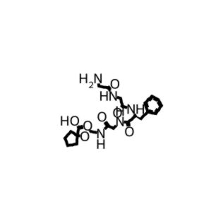 NCC(=O)NCC(=O)N[C@@H](Cc1ccccc1)C(=O)NCC(=O)NCOC1(C(=O)O)CCCC1